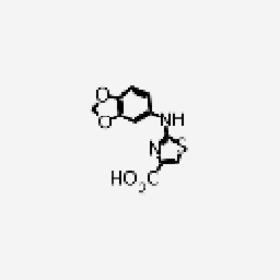 O=C(O)c1csc(Nc2ccc3c(c2)OCO3)n1